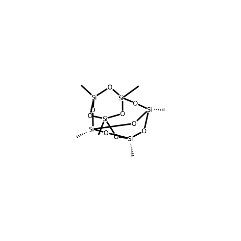 C[Si]12O[Si]3(C)O[Si](C)(O1)O[Si@]1(C)O[Si@](C)(O2)O[Si@](C)(O3)O1